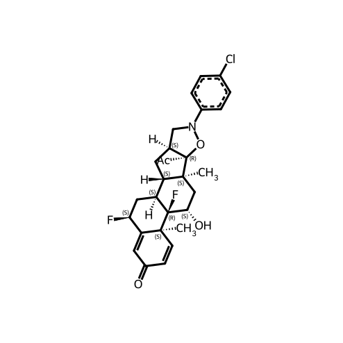 CC(=O)[C@@]12ON(c3ccc(Cl)cc3)C[C@@H]1C[C@H]1[C@@H]3C[C@H](F)C4=CC(=O)C=C[C@]4(C)[C@@]3(F)[C@@H](O)C[C@@]12C